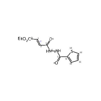 CCOC(=O)/C=C/C(=O)NNC(=O)c1cccs1